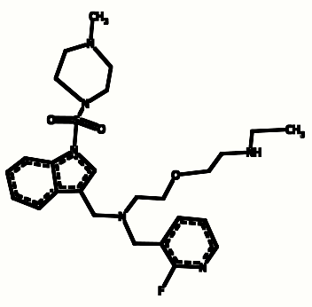 CCNCCOCCN(Cc1cccnc1F)Cc1cn(S(=O)(=O)N2CCN(C)CC2)c2ccccc12